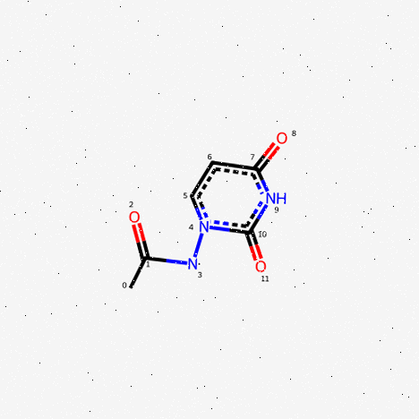 CC(=O)[N]n1ccc(=O)[nH]c1=O